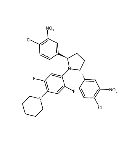 O=[N+]([O-])c1cc([C@H]2CC[C@H](c3ccc(Cl)c([N+](=O)[O-])c3)N2c2cc(F)c(N3CCCCC3)cc2F)ccc1Cl